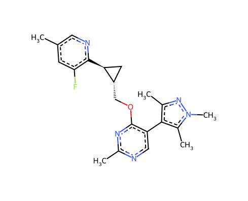 Cc1cnc([C@H]2C[C@@H]2COc2nc(C)ncc2-c2c(C)nn(C)c2C)c(F)c1